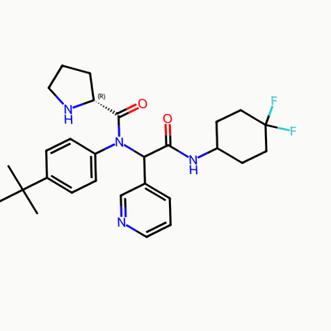 CC(C)(C)c1ccc(N(C(=O)[C@H]2CCCN2)C(C(=O)NC2CCC(F)(F)CC2)c2cccnc2)cc1